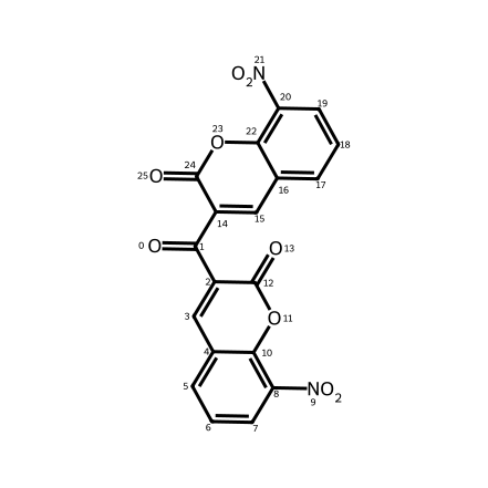 O=C(c1cc2cccc([N+](=O)[O-])c2oc1=O)c1cc2cccc([N+](=O)[O-])c2oc1=O